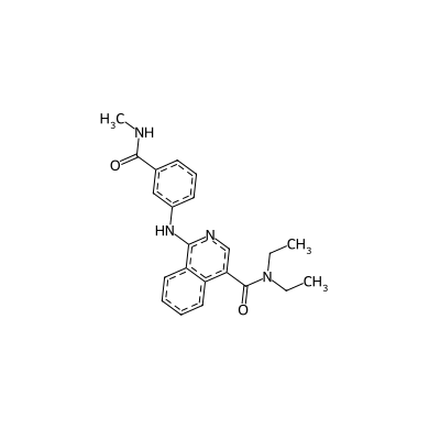 CCN(CC)C(=O)c1cnc(Nc2cccc(C(=O)NC)c2)c2ccccc12